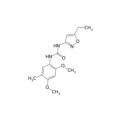 CCc1cc(NC(=O)Nc2cc(C)c(OC)cc2OC)no1